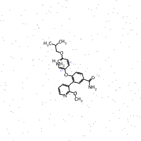 C=C(/C=C\C(=C/N)Oc1ccc(C(N)=O)cc1-c1cccnc1OC)OCC(C)C